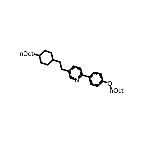 CCCCCCCCOc1ccc(-c2ccc(CCC3CCC(CCCCCCCC)CC3)cn2)cc1